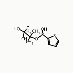 CC(C)(O)C(C)(C)OB(O)c1cccs1